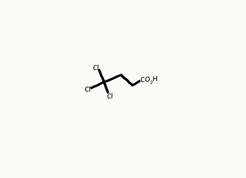 O=C(O)CCC(Cl)(Cl)Cl